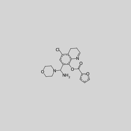 NC(c1cc(Cl)c2c(c1OC(=O)c1ccco1)N=CCC2)N1CCOCC1